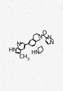 Cc1c[nH]c2ncc(-c3cc4c(c([C@@H]5CCCN5)c3)CN(C(=O)c3ccncn3)CC4)cc12